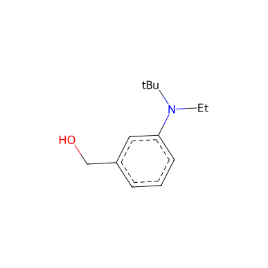 CCN(c1cccc(CO)c1)C(C)(C)C